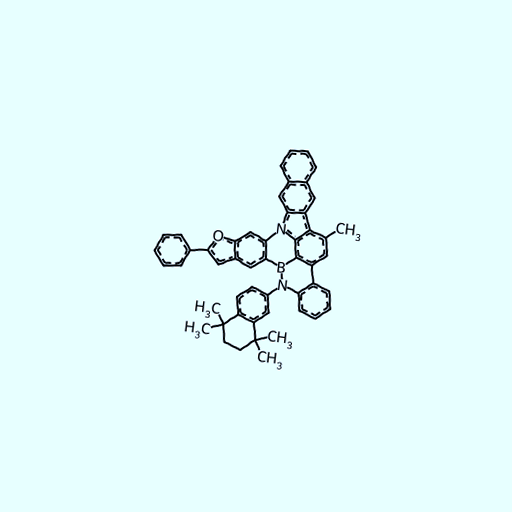 Cc1cc2c3c4c1c1cc5ccccc5cc1n4-c1cc4oc(-c5ccccc5)cc4cc1B3N(c1ccc3c(c1)C(C)(C)CCC3(C)C)c1ccccc1-2